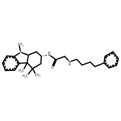 CN1c2ccccc2C2(C)C1C[C@H](NC(=O)CNCCCCc1ccccc1)CC2(C)C